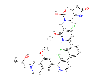 COc1cc(-c2nccc(-c3cccc(-c4cc(Cl)c(CN(C[C@@H]5CCC(=O)N5)C(=O)O)c(OC)n4)c3Cl)c2Cl)cc2c1CN(CC(C)O)CC2